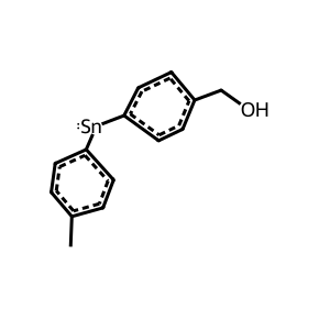 Cc1cc[c]([Sn][c]2ccc(CO)cc2)cc1